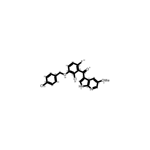 COc1cnc2[nH]cc(C(=O)c3c(F)ccc(OCc4ccc(Cl)cc4)c3Cl)c2c1